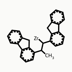 CC(c1cccc2c1Cc1ccccc1-2)[CH]([Zr])c1cccc2c1Cc1ccccc1-2